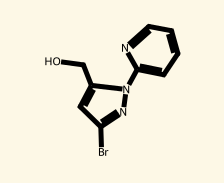 OCc1cc(Br)nn1-c1ccccn1